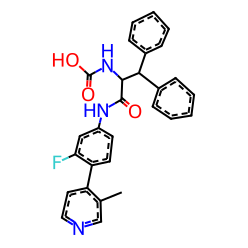 Cc1cnccc1-c1ccc(NC(=O)C(NC(=O)O)C(c2ccccc2)c2ccccc2)cc1F